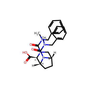 CN(Cc1ccccc1)C(=O)N1C[C@@H]2CC[C@H]([C@H]1C(=O)O)N2C(=O)N(C)Cc1ccccc1